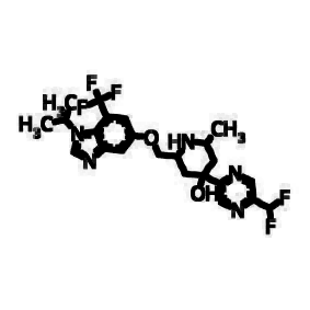 CC1CC(O)(c2cnc(C(F)F)cn2)CC(COc2cc(C(F)(F)F)c3c(c2)ncn3C(C)C)N1